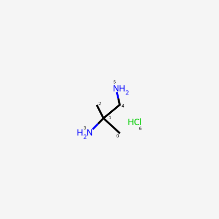 CC(C)(N)CN.Cl